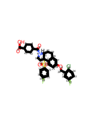 O=C(O)C1CCC(C(=O)N2CC[C@@]3(S(=O)(=O)c4ccc(F)cc4)c4ccc(OCc5cc(F)ccc5Cl)cc4CC[C@@H]23)CC1